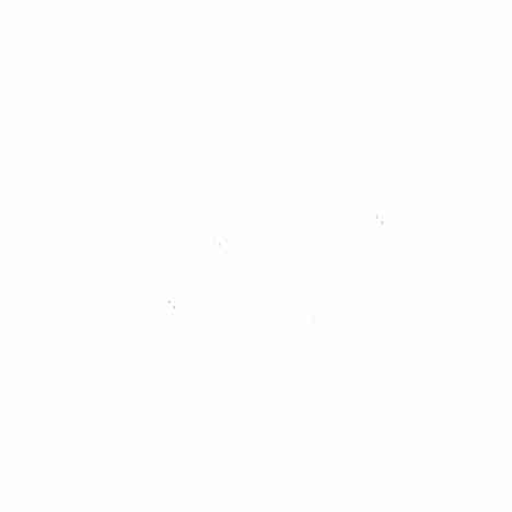 N#Cc1ccccc1CNc1ccc(C(=NO)c2sccc2Cl)c(Cl)c1